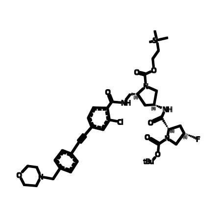 CC(C)(C)OC(=O)N1C[C@@H](F)C[C@H]1C(=O)N[C@@H]1C[C@H](CNC(=O)c2ccc(C#Cc3ccc(CN4CCOCC4)cc3)cc2Cl)N(C(=O)OCC[Si](C)(C)C)C1